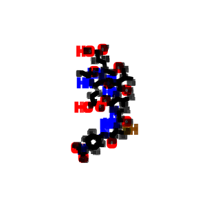 CC(=O)N[C@@H](CCC(=O)O)C(=O)N[C@@H](CCC(=O)O)C(=O)N[C@H](C(=O)N[C@H](C(=O)N[C@@H](C)C(=O)N[C@@H](CS)C(=O)Nc1ccc([N+](=O)[O-])cc1)C(C)C)C(C)C